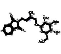 CC(=O)OC[C@H]1O[C@@H](OC/C(C)=C/CN2C(=O)c3ccccc3C2=O)[C@H](OC(C)=O)[C@@H](OC(C)=O)[C@@H]1OC(C)=O